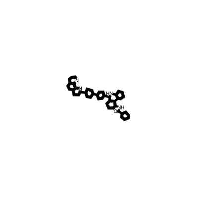 c1ccc(C2Nc3c(ccc4c3-c3ccccc3NC4c3ccc(-c4ccc(-c5ccc6ccc7cccnc7c6n5)cc4)cc3)O2)cc1